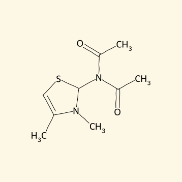 CC(=O)N(C(C)=O)C1SC=C(C)N1C